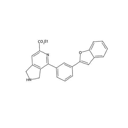 CCOC(=O)c1cc2c(c(-c3cccc(-c4cc5ccccc5o4)c3)n1)CNC2